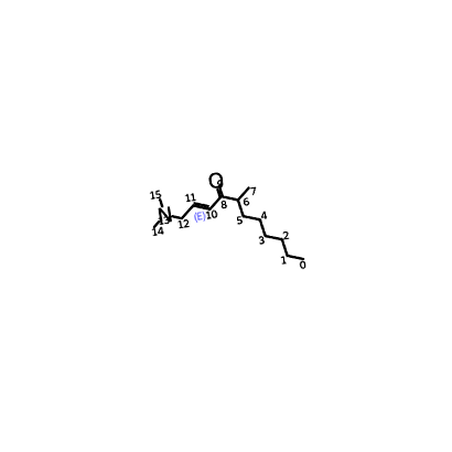 CCCCCCC(C)C(=O)/C=C/CN(C)C